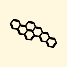 c1ccc2cc3c(cc2c1)cc1ccc2c4ccccc4cc4ccc3c1c42